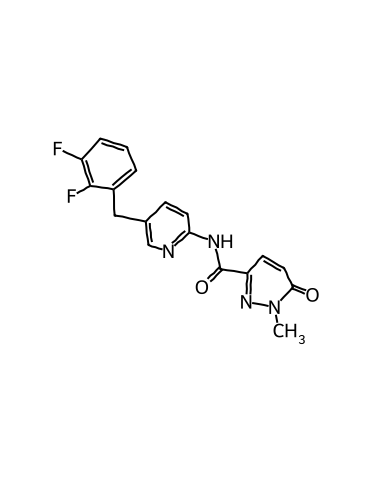 Cn1nc(C(=O)Nc2ccc(Cc3cccc(F)c3F)cn2)ccc1=O